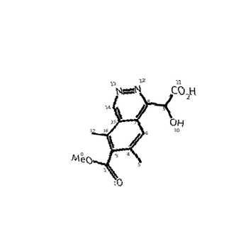 COC(=O)c1c(C)cc2c(C(O)C(=O)O)nncc2c1C